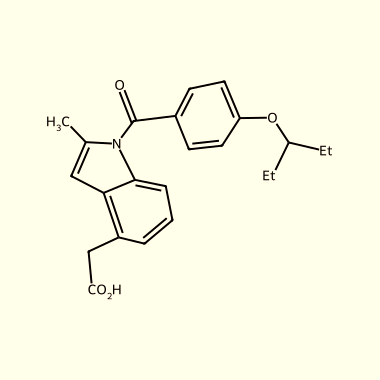 CCC(CC)Oc1ccc(C(=O)n2c(C)cc3c(CC(=O)O)cccc32)cc1